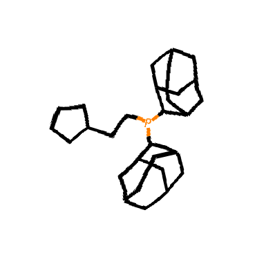 C1CCC(CCP(C2C3CC4CC(C3)CC2C4)C2C3CC4CC(C3)CC2C4)C1